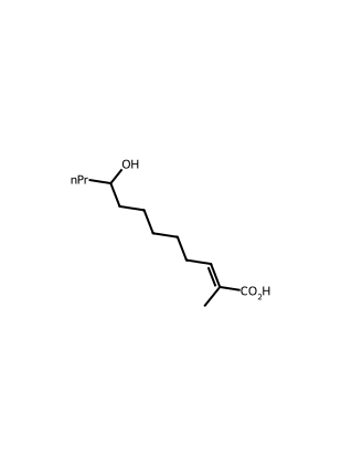 CCCC(O)CCCCCC=C(C)C(=O)O